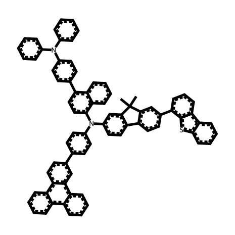 CC1(C)c2cc(-c3cccc4c3sc3ccccc34)ccc2-c2ccc(N(c3ccc(-c4ccc5c6ccccc6c6ccccc6c5c4)cc3)c3ccc(-c4ccc(N(c5ccccc5)c5ccccc5)cc4)c4ccccc34)cc21